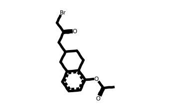 CC(=O)Oc1cccc2c1CCC(CC(=O)CBr)C2